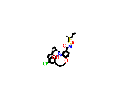 C=CC[C@H](C)C/[SH](=O)=N\C(=O)c1ccc2c(c1)N(C[C@@H]1CC[C@H]1[C@@H](O)C=C)Cc1ccc(Cl)cc1CCCCO2